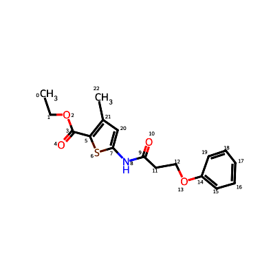 CCOC(=O)c1sc(NC(=O)CCOc2ccccc2)cc1C